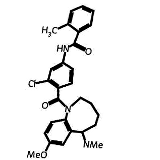 CNC1CCCCN(C(=O)c2ccc(NC(=O)c3ccccc3C)cc2Cl)c2ccc(OC)cc21